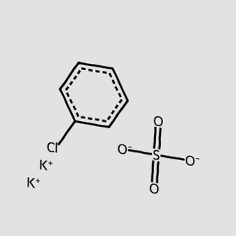 Clc1ccccc1.O=S(=O)([O-])[O-].[K+].[K+]